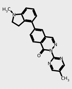 Cc1cnc(-n2ncc3cc(-c4cccc5c4CCN5C)ccc3c2=O)nc1